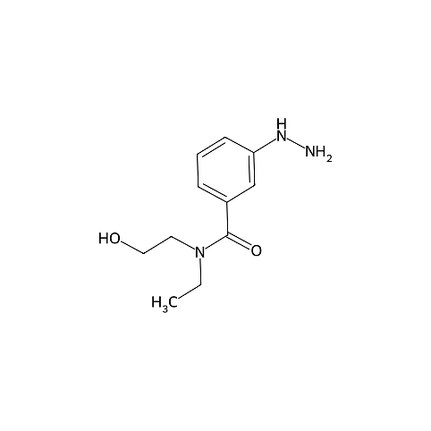 CCN(CCO)C(=O)c1cccc(NN)c1